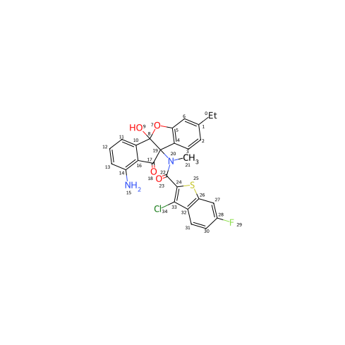 CCc1ccc2c(c1)OC1(O)c3cccc(N)c3C(=O)C21N(C)C(=O)c1sc2cc(F)ccc2c1Cl